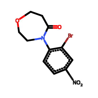 O=C1CCOCCN1c1ccc([N+](=O)[O-])cc1Br